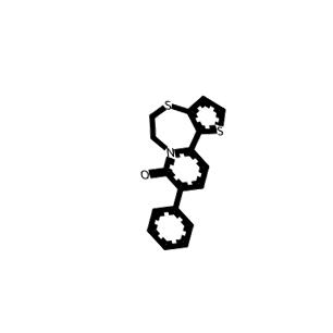 O=c1c(-c2ccccc2)ccc2n1CCSc1ccsc1-2